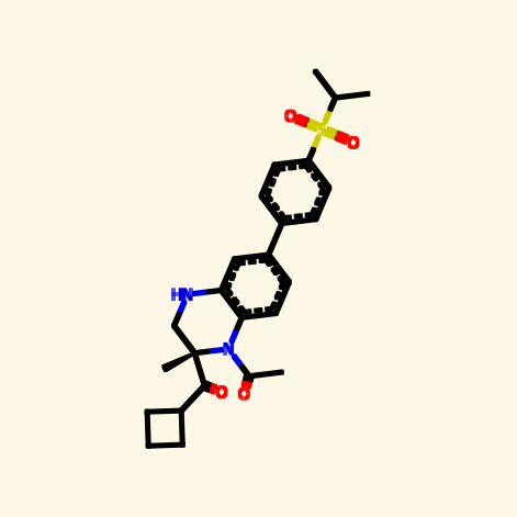 CC(=O)N1c2ccc(-c3ccc(S(=O)(=O)C(C)C)cc3)cc2NC[C@@]1(C)C(=O)C1CCC1